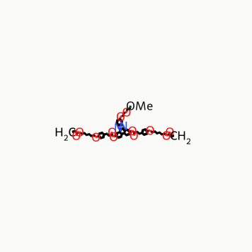 C=CC(=O)OCCCCCCOc1ccc(CCC(=O)Oc2ccc3c4ccc(OC(=O)CCc5ccc(OCCCCCCOC(=O)C=C)cc5)cc4c4nc5cc(OCCOCCOC)ccc5nc4c3c2)cc1